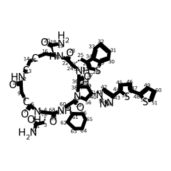 NC(=O)C[C@@H]1NC(=O)CCC(=O)NCCCC[C@@H](C(N)=O)NC(=O)[C@H](Cc2csc3ccccc23)NC(=O)[C@@H]2C[C@H](n3cc(-c4ccc(-c5cccs5)s4)nn3)CN2C(=O)[C@H](C2CCCCC2)NC1=O